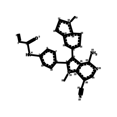 C=CC(=O)Nc1ccc(-c2c(-c3ccc4c(ccn4C)c3)c3c(N)ncc(C#N)c3n2C)cc1